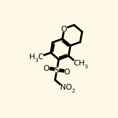 Cc1cc2c(c(C)c1S(=O)(=O)C[N+](=O)[O-])CCCO2